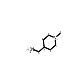 CN1CCC([CH]N)CC1